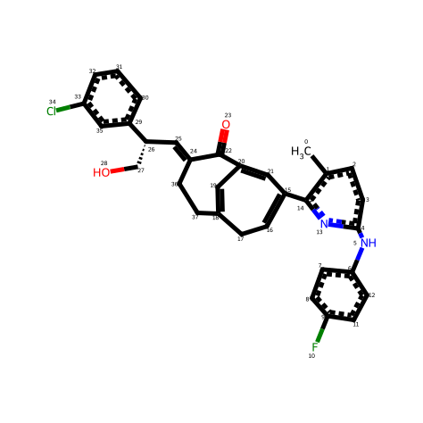 Cc1ccc(Nc2ccc(F)cc2)nc1C1=CCC2=CC(=C1)C(=O)/C(=C/[C@H](CO)c1cccc(Cl)c1)CC2